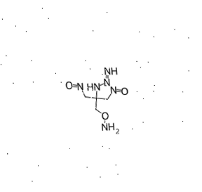 N=NNC(CN=O)(CN=O)CON